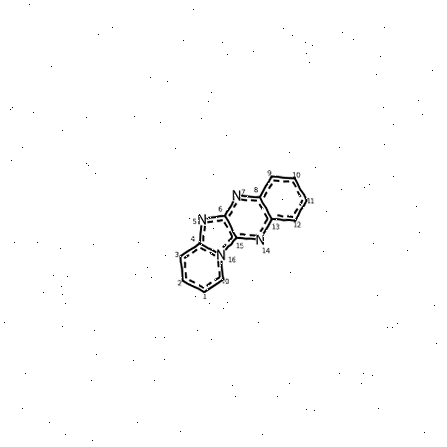 [c]1cccc2nc3nc4ccccc4nc3n12